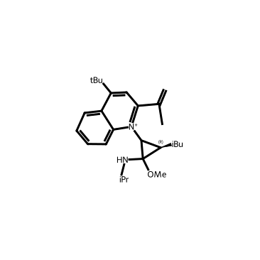 C=C(C)c1cc(C(C)(C)C)c2ccccc2[n+]1C1[C@@H](C(C)CC)C1(NC(C)C)OC